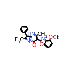 CCOc1cccc2oc(-c3c(C)[nH]c4c(-c5ccccc5)c(C(F)(F)F)nn4c3=O)nc12